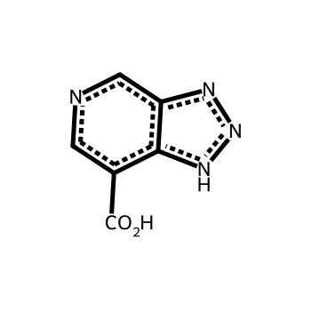 O=C(O)c1cncc2nn[nH]c12